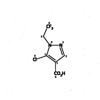 O=C(O)c1cnn(CC(F)(F)F)c1Cl